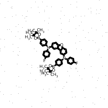 CC1(C)OB(c2ccc(N(c3ccc(F)cc3)c3ccc4oc5ccc(N(c6ccc(F)cc6)c6ccc(B7OC(C)(C)C(C)(C)O7)cc6)cc5c4c3)cc2)OC1(C)C